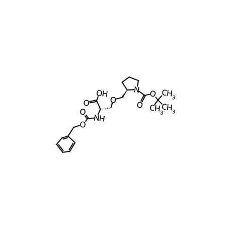 CC(C)(C)OC(=O)N1CCC[C@@H]1COC[C@H](NC(=O)OCc1ccccc1)C(=O)O